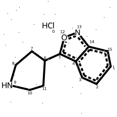 Cl.c1ccc2c(C3CCNCC3)onc2c1